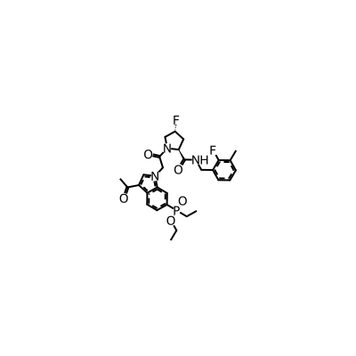 CCOP(=O)(CC)c1ccc2c(C(C)=O)cn(CC(=O)N3C[C@H](F)C[C@H]3C(=O)NCc3cccc(C)c3F)c2c1